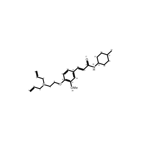 C=CCN(CC=C)CCOc1ccc(C=CC(=O)NC2CCC(C)CC2)cc1OC